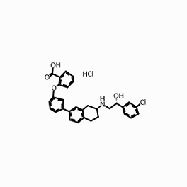 Cl.O=C(O)c1ccccc1Oc1cccc(-c2ccc3c(c2)C[C@@H](NC[C@H](O)c2cccc(Cl)c2)CC3)c1